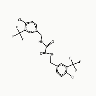 O=C(NCc1ccc(Cl)c(C(F)(F)F)c1)C(=O)NCc1ccc(Cl)c(C(F)(F)F)c1